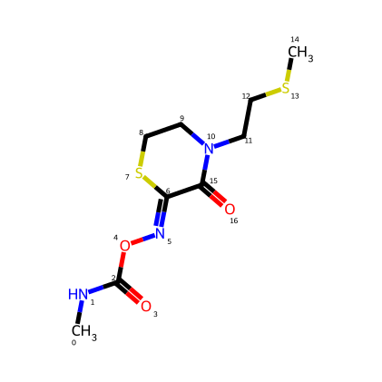 CNC(=O)ON=C1SCCN(CCSC)C1=O